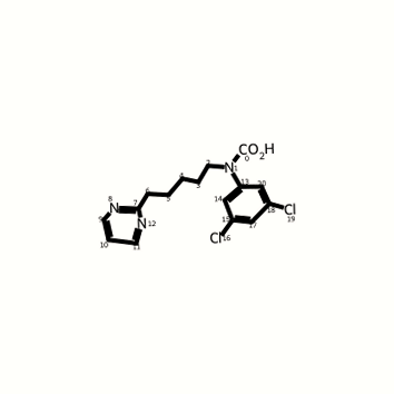 O=C(O)N(CCCCCc1ncccn1)c1cc(Cl)cc(Cl)c1